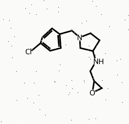 Clc1ccc(CN2CCC(NCC3CO3)C2)cc1